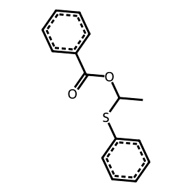 CC(OC(=O)c1ccccc1)Sc1ccccc1